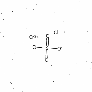 O=S(=O)([O-])[O-].[Cl-].[Cr+3]